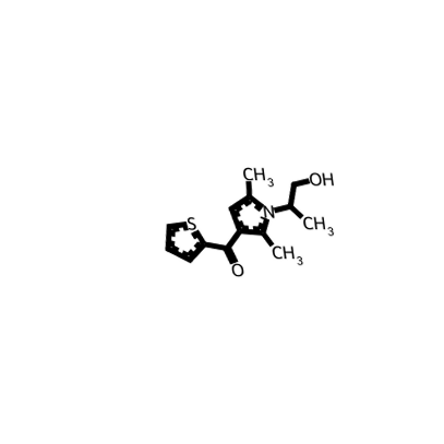 Cc1cc(C(=O)c2cccs2)c(C)n1C(C)CO